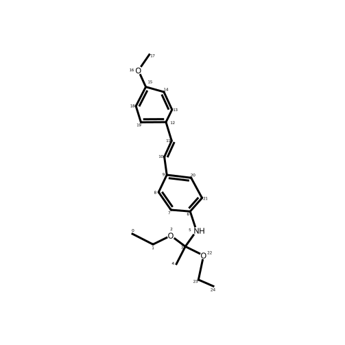 CCOC(C)(Nc1ccc(C=Cc2ccc(OC)cc2)cc1)OCC